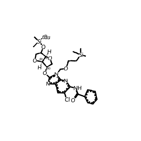 CC(C)(C)[Si](C)(C)OC1CO[C@H]2[C@@H]1OC[C@H]2Oc1nc2cc(Cl)c(NC(=O)c3ccccc3)nc2n1COCC[Si](C)(C)C